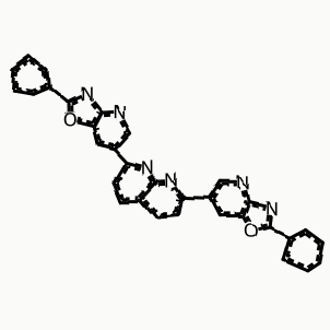 c1ccc(-c2nc3ncc(-c4ccc5ccc(-c6cnc7nc(-c8ccccc8)oc7c6)nc5n4)cc3o2)cc1